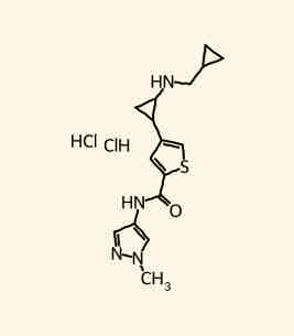 Cl.Cl.Cn1cc(NC(=O)c2cc(C3CC3NCC3CC3)cs2)cn1